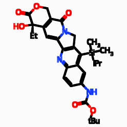 CC[C@@]1(O)C(=O)OCc2c1cc1n(c2=O)Cc2c-1nc1ccc(NC(=O)OC(C)(C)C)cc1c2[Si](C)(C)C(C)C